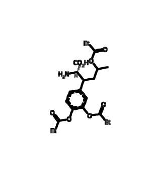 CCC(=O)Oc1ccc(C(CC(C)OC(=O)CC)[C@H](N)C(=O)O)cc1OC(=O)CC